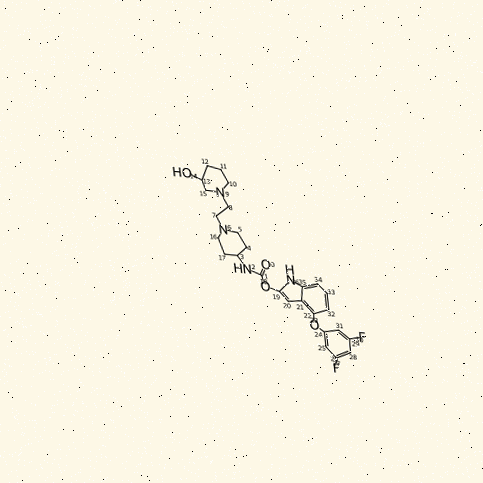 O=C(NC1CCN(CCN2CCCC(O)C2)CC1)Oc1cc2c(Oc3cc(F)cc(F)c3)cccc2[nH]1